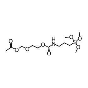 CO[Si](CCCNC(=O)OCCOCOC(C)=O)(OC)OC